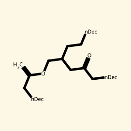 C=C(CCCCCCCCCCC)OCC(CCCCCCCCCCCC)CC(=O)CCCCCCCCCCC